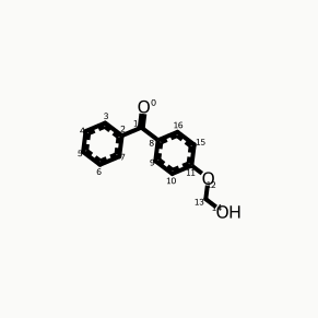 O=C(c1ccccc1)c1ccc(OCO)cc1